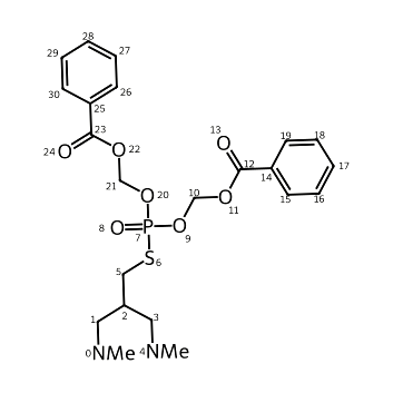 CNCC(CNC)CSP(=O)(OCOC(=O)c1ccccc1)OCOC(=O)c1ccccc1